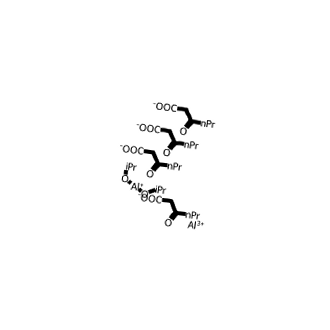 CC(C)[O][Al+][O]C(C)C.CCCC(=O)CC(=O)[O-].CCCC(=O)CC(=O)[O-].CCCC(=O)CC(=O)[O-].CCCC(=O)CC(=O)[O-].[Al+3]